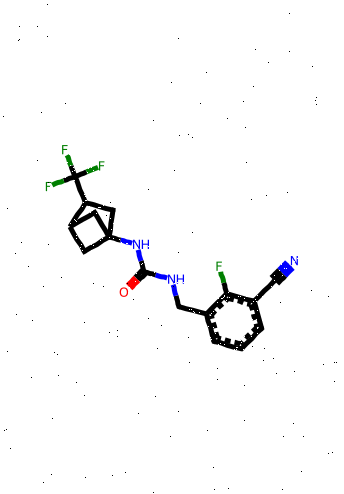 N#Cc1cccc(CNC(=O)NC23CC(C2)C(C(F)(F)F)C3)c1F